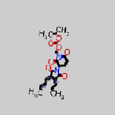 C=C/C=C1/C(=O)N(C2CCC(=O)N(COC(=O)OC(C)C)C2=O)C(=O)/C1=C/C=C/C